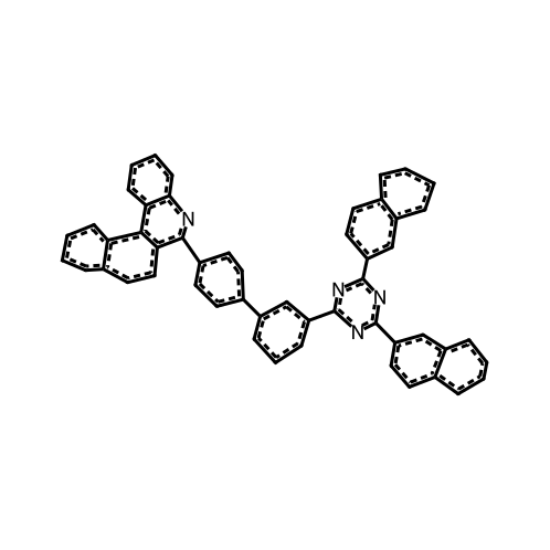 c1cc(-c2ccc(-c3nc4ccccc4c4c3ccc3ccccc34)cc2)cc(-c2nc(-c3ccc4ccccc4c3)nc(-c3ccc4ccccc4c3)n2)c1